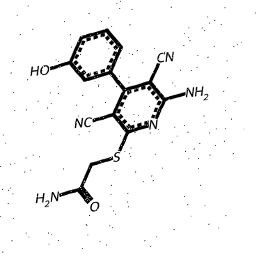 N#Cc1c(N)nc(SCC(N)=O)c(C#N)c1-c1cccc(O)c1